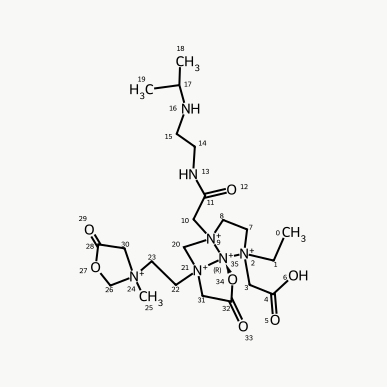 CC[N+]1(CC(=O)O)CC[N+]2(CC(=O)NCCNC(C)C)C[N+]3(CC[N+]4(C)COC(=O)C4)CC(=O)O[N@+]123